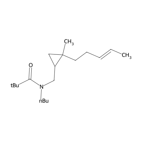 C/C=C/CCC1(C)CC1CN(CCCC)C(=O)C(C)(C)C